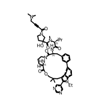 CCn1c(-c2cncnc2)c2c3cc(ccc31)-c1cccc(c1)C[C@H](NC(=O)[C@H](C(C)C)N(C)C(=O)[C@@]1(O)CCN(C(=O)C#CCN(C)C)C1)C(=O)N1CCC[C@H](N1)C(=O)OCC(C)(C)C2